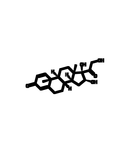 C[C@]12C=CC(=O)C=C1CC[C@@H]1[C@@H]2CC[C@@]2(C)[C@H]1C[C@@H](O)[C@]2(O)C(=O)CO